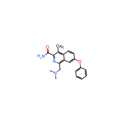 CC(=O)Oc1c(C(N)=O)nc(CN(C)C)c2cc(Oc3ccccc3)ccc12